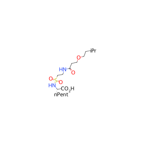 CCCCC[C@H](NS(=O)(=O)CCNC(=O)CCOCCC(C)C)C(=O)O